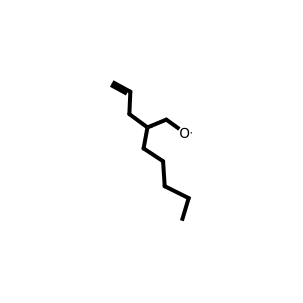 C=CC[C](C[O])CCCCC